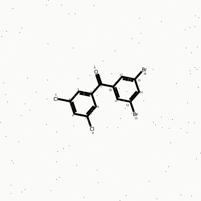 O=C(c1cc(Cl)cc(Cl)c1)c1cc(Br)cc(Br)c1